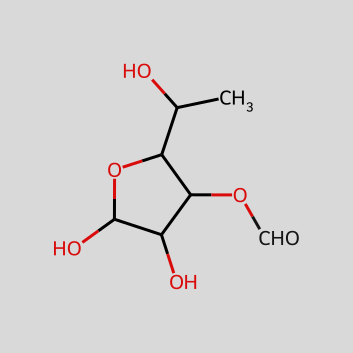 CC(O)C1OC(O)C(O)C1OC=O